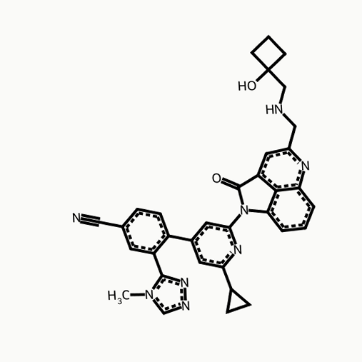 Cn1cnnc1-c1cc(C#N)ccc1-c1cc(C2CC2)nc(N2C(=O)c3cc(CNCC4(O)CCC4)nc4cccc2c34)c1